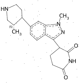 C[C@@H]1CNCCC1c1ccc2c(C3CCC(=O)NC3=O)nn(C)c2c1